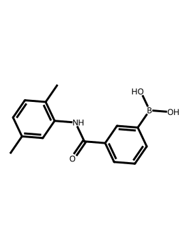 Cc1ccc(C)c(NC(=O)c2cccc(B(O)O)c2)c1